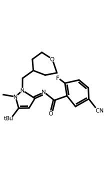 Cn1c(C(C)(C)C)cc(=NC(=O)c2cc(C#N)ccc2F)n1CC1CCOCC1